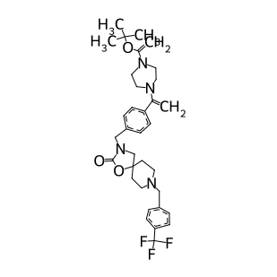 C=C(OC(C)(C)C)N1CCN(C(=C)c2ccc(CN3CC4(CCN(Cc5ccc(C(F)(F)F)cc5)CC4)OC3=O)cc2)CC1